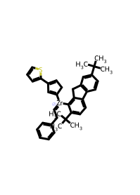 CC(C)(C)c1ccc2c(c1)Cc1c-2ccc(C(C)(C)C)[c]1/[Zr](=[CH]\Cc1ccccc1)[C]1=CC(c2cccs2)=CC1